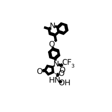 Cc1cc(COc2ccc(N(C(=O)C(F)(F)F)[C@@H]3CC(=O)C[C@H]3C(=O)NO)cc2)c2ccccc2n1